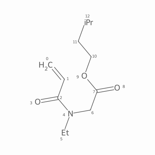 C=CC(=O)N(CC)CC(=O)OCCC(C)C